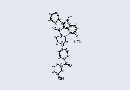 Cc1ccc2c(c1)c(C(=O)N1CCN(c3ccc(C(=O)N4CCCC(O)C4)cn3)CC1)c(-c1ccccc1)n2C.Cl